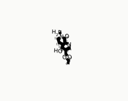 CC1OC(c2cnc3c(=O)n(P)ccc3c2O)O1